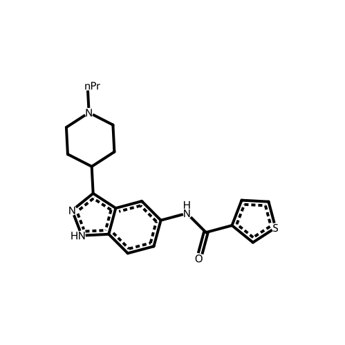 CCCN1CCC(c2n[nH]c3ccc(NC(=O)c4ccsc4)cc23)CC1